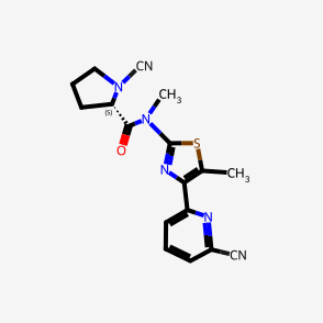 Cc1sc(N(C)C(=O)[C@@H]2CCCN2C#N)nc1-c1cccc(C#N)n1